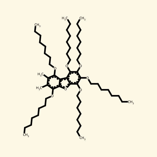 CCCCCCCCOc1c(OCCCCCCCC)c(OCCCCCCCC)c2c(oc3c(OCCCCCCCC)c(C)c(C)c(OCCCCCCCC)c32)c1OCCCCCCCC